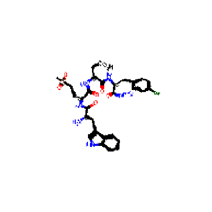 CS(=O)(=O)CC[C@H](NC(=O)[C@H](N)Cc1c[nH]c2ccccc12)C(=O)N[C@@H](CC(=O)O)C(=O)N[C@@H](Cc1ccc(Br)cc1)C(N)=O